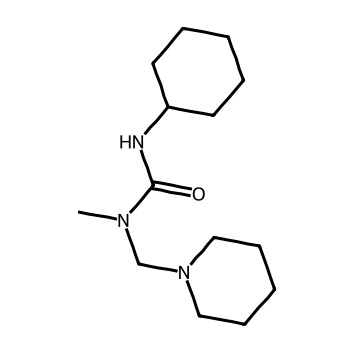 CN(CN1CCCCC1)C(=O)NC1CCCCC1